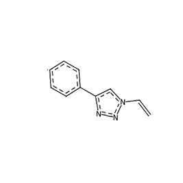 C=Cn1cc(-c2cc[c]cc2)nn1